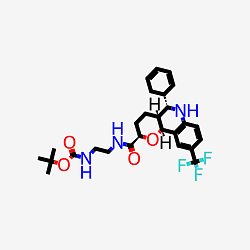 CC(C)(C)OC(=O)NCCNC(=O)[C@H]1CC[C@@H]2[C@H](O1)c1cc(C(F)(F)F)ccc1N[C@H]2C1C=CC=CC1